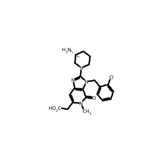 Cn1c(CC(=O)O)cc2nc(N3CCC[C@@H](N)C3)n(Cc3ccccc3Cl)c2c1=O